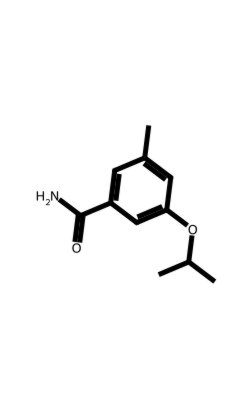 Cc1cc(OC(C)C)cc(C(N)=O)c1